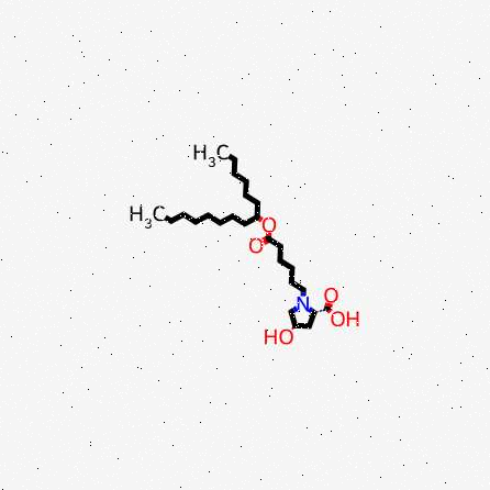 CCCCCCCCC(CCCCCC)OC(=O)CCCCCN1C[C@@H](O)C[C@H]1C(=O)O